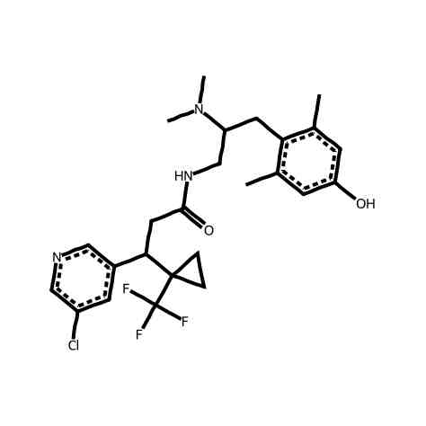 Cc1cc(O)cc(C)c1CC(CNC(=O)CC(c1cncc(Cl)c1)C1(C(F)(F)F)CC1)N(C)C